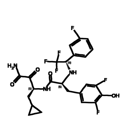 NC(=O)C(=O)[C@H](CC1CC1)NC(=O)[C@H](Cc1cc(F)c(O)c(F)c1)N[C@@H](c1cccc(F)c1)C(F)(F)F